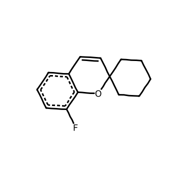 Fc1cccc2c1OC1(C=C2)CCCCC1